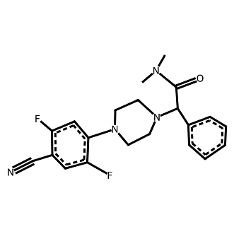 CN(C)C(=O)C(c1ccccc1)N1CCN(c2cc(F)c(C#N)cc2F)CC1